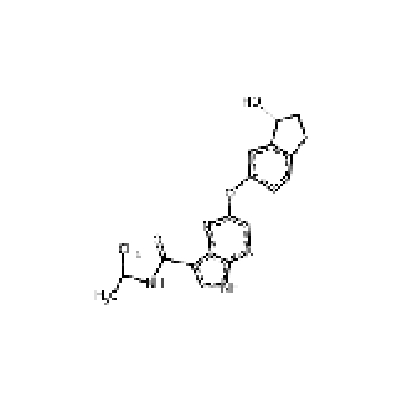 CC(C)NC(=O)c1c[nH]c2ncc(Oc3ccc4c(c3)[C@H](O)CC4)nc12